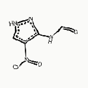 O=CNc1n[nH]cc1[N+](=O)[O-]